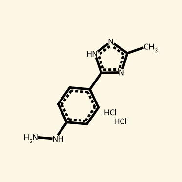 Cc1n[nH]c(-c2ccc(NN)cc2)n1.Cl.Cl